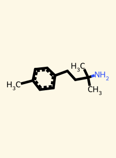 Cc1ccc(CCC(C)(C)N)cc1